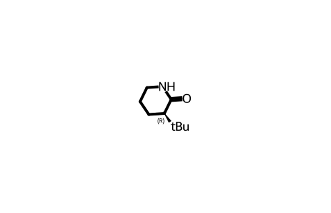 CC(C)(C)[C@H]1CCCNC1=O